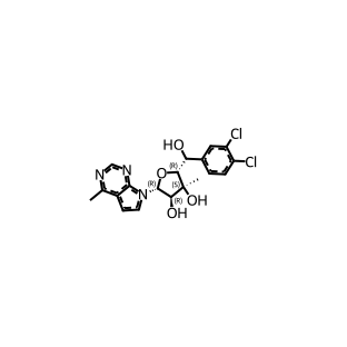 Cc1ncnc2c1ccn2[C@@H]1O[C@H](C(O)c2ccc(Cl)c(Cl)c2)[C@@](C)(O)[C@H]1O